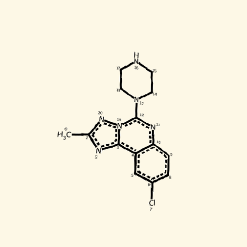 Cc1nc2c3cc(Cl)ccc3nc(N3CCNCC3)n2n1